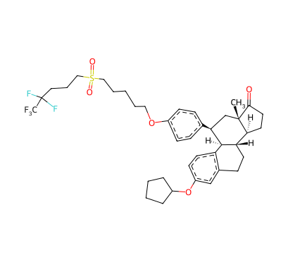 C[C@]12C[C@H](c3ccc(OCCCCCS(=O)(=O)CCCC(F)(F)C(F)(F)F)cc3)[C@@H]3c4ccc(OC5CCCC5)cc4CC[C@H]3[C@@H]1CCC2=O